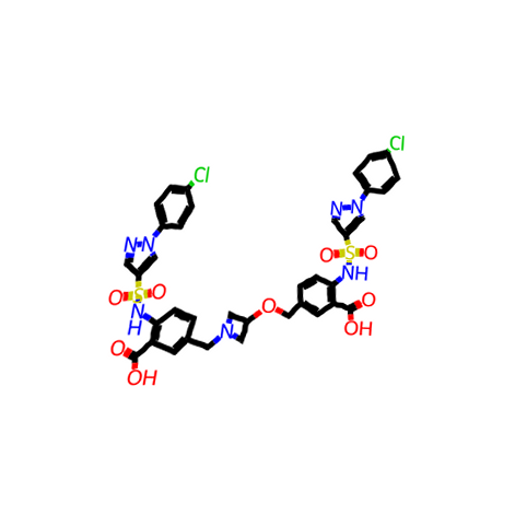 O=C(O)c1cc(COC2CN(Cc3ccc(NS(=O)(=O)c4cnn(-c5ccc(Cl)cc5)c4)c(C(=O)O)c3)C2)ccc1NS(=O)(=O)c1cnn(-c2ccc(Cl)cc2)c1